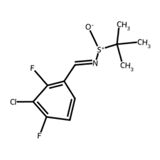 CC(C)(C)[S+]([O-])N=Cc1ccc(F)c(Cl)c1F